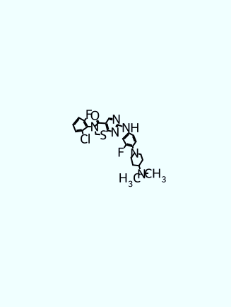 CN(C)C1CCN(c2ccc(Nc3ncc4c(n3)SCN(c3c(F)cccc3Cl)C4=O)cc2F)CC1